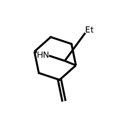 C=C1CC2CCC1C(CC)N2